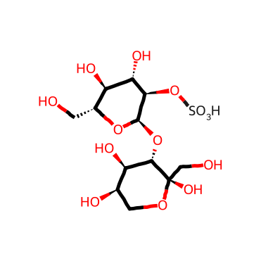 O=S(=O)(O)O[C@H]1[C@@H](O[C@H]2[C@H](O)[C@H](O)CO[C@@]2(O)CO)O[C@H](CO)[C@@H](O)[C@@H]1O